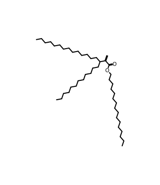 C=C(C(=O)OCCCCCCCCCCCCCCCC)C(CCCCCCCCCCCC)CCCCCCCCCCCCCC